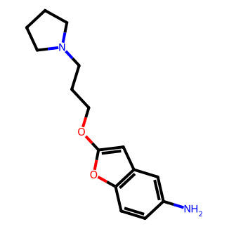 Nc1ccc2oc(OCCCN3CCCC3)cc2c1